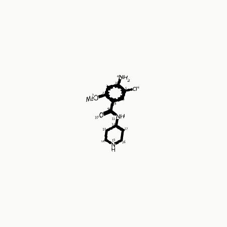 COc1cc(N)c(Cl)cc1C(=O)NC1CCNCC1